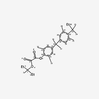 CCC(C)(CC)OC(=O)C(=O)Oc1c(C)cc(C(C)(C)c2cc(C)c(C(C)(C)CC)c(C)c2)cc1C